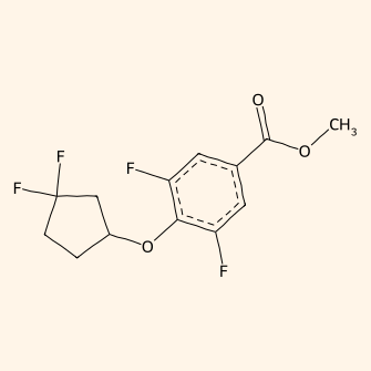 COC(=O)c1cc(F)c(OC2CCC(F)(F)C2)c(F)c1